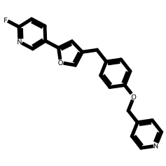 Fc1ccc(-c2cc(Cc3ccc(OCc4ccncc4)cc3)co2)cn1